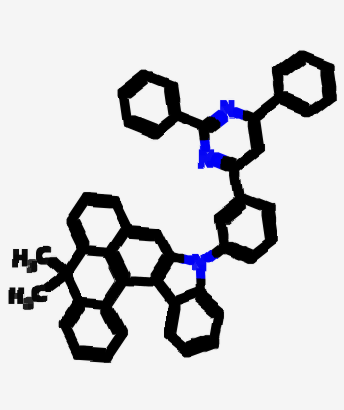 CC1(C)c2ccccc2-c2c3c1cccc3cc1c2c2ccccc2n1-c1cccc(-c2cc(-c3ccccc3)nc(-c3ccccc3)n2)c1